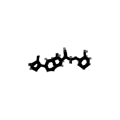 Cc1[nH]ncc1-c1ccc2cc(C(=O)NCc3ccccc3F)[nH]c2n1